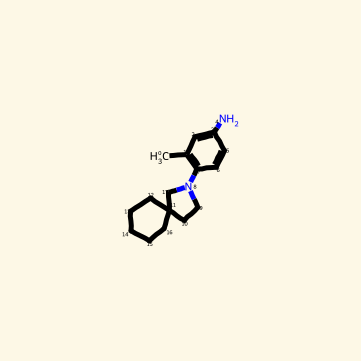 Cc1cc(N)ccc1N1CCC2(CCCCC2)C1